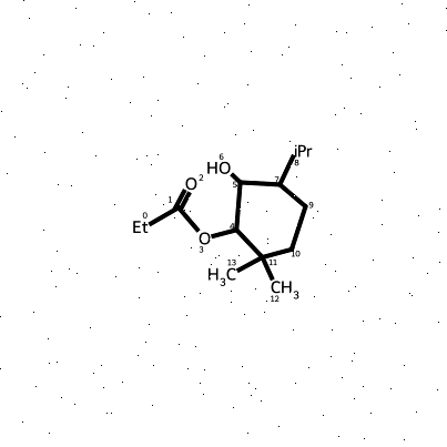 CCC(=O)OC1C(O)C(C(C)C)CCC1(C)C